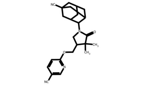 CC1(C)C(=O)N(C2C3CC4CC2CC(C#N)(C4)C3)CC1COc1ccc(C#N)cn1